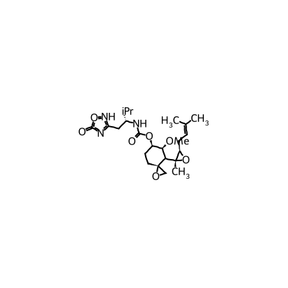 CO[C@H]1C([C@@]2(C)O[C@@H]2CC=C(C)C)[C@]2(CC[C@H]1OC(=O)N[C@H](Cc1nc(=O)o[nH]1)C(C)C)CO2